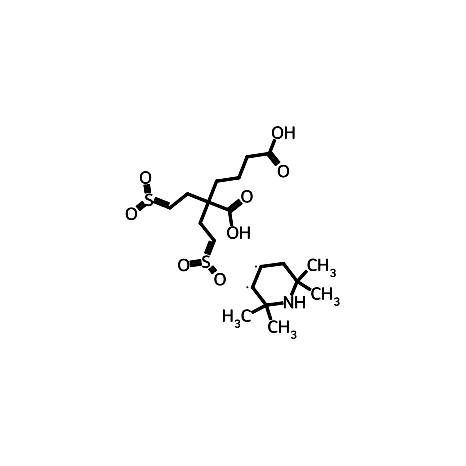 CC1(C)[CH][CH]CC(C)(C)N1.O=C(O)CCCC(CC=S(=O)=O)(CC=S(=O)=O)C(=O)O